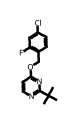 CC(C)(C)c1nccc(OCc2ccc(Cl)cc2F)n1